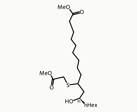 CCCCCC[C@@H](O)CC(CCCCCCCCC(=O)OC)SCC(=O)OC